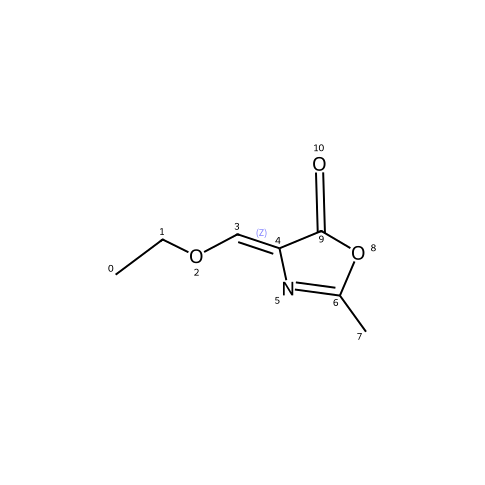 CCO/C=C1\N=C(C)OC1=O